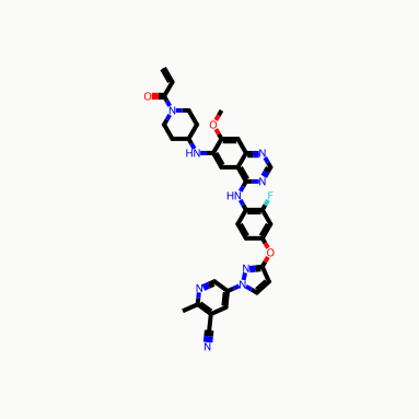 C=CC(=O)N1CCC(Nc2cc3c(Nc4ccc(Oc5ccn(-c6cnc(C)c(C#N)c6)n5)cc4F)ncnc3cc2OC)CC1